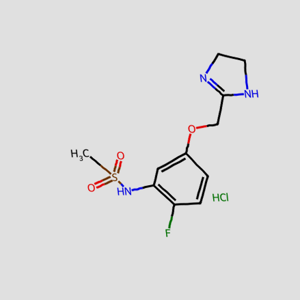 CS(=O)(=O)Nc1cc(OCC2=NCCN2)ccc1F.Cl